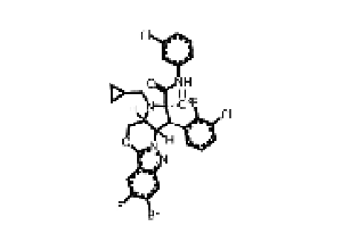 C[C@]1(C(=O)Nc2cccc(Cl)c2)[C@@H](c2cccc(Cl)c2F)[C@H]2[C@H](COc3c4cc(F)c(Br)cc4nn32)N1CC1CC1